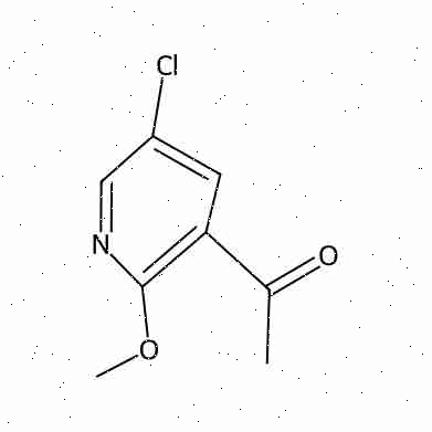 COc1ncc(Cl)cc1C(C)=O